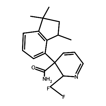 CC1CC(C)(C)c2cccc(C3(C(N)=O)C=CC=NC3C(F)F)c21